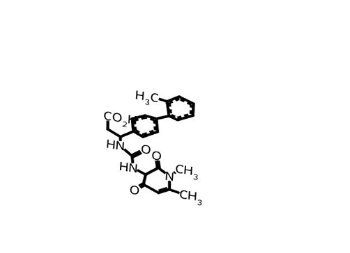 CC1=CC(=O)C(NC(=O)NC(CC(=O)O)c2ccc(-c3ccccc3C)cc2)C(=O)N1C